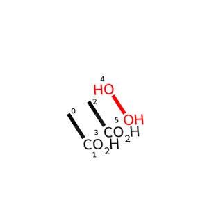 CC(=O)O.CC(=O)O.OO